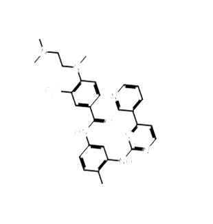 Cc1ccc(NC(=O)c2ccc(N(C)CCN(C)C)c(C(F)(F)F)c2)cc1Nc1nccc(-c2cccnc2)n1